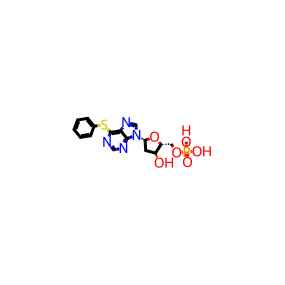 O=P(O)(O)OC[C@H]1O[C@@H](n2cnc3c(Sc4ccccc4)ncnc32)C[C@@H]1O